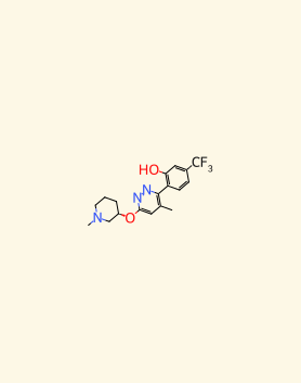 Cc1cc(O[C@@H]2CCCN(C)C2)nnc1-c1ccc(C(F)(F)F)cc1O